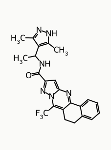 Cc1n[nH]c(C)c1C(C)NC(=O)c1cc2nc3c(c(C(F)(F)F)n2n1)CCc1ccccc1-3